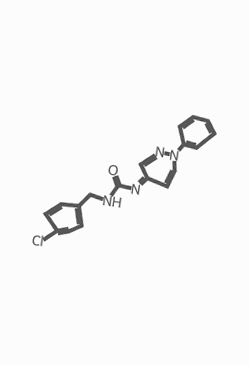 O=C(N=c1ccn(-c2ccccc2)nc1)NCc1ccc(Cl)cc1